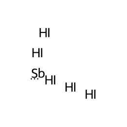 I.I.I.I.I.[Sb]